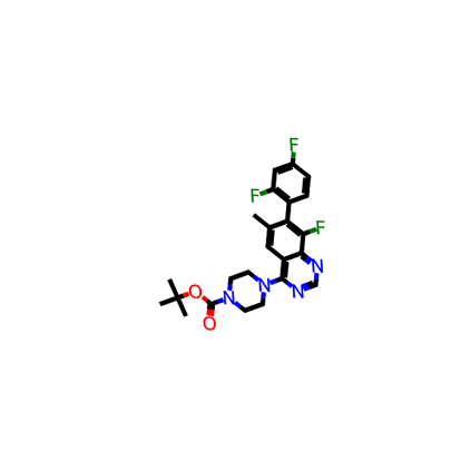 Cc1cc2c(N3CCN(C(=O)OC(C)(C)C)CC3)ncnc2c(F)c1-c1ccc(F)cc1F